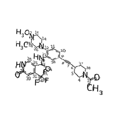 CC(=O)N1CCC(C#Cc2ccc(N3CCN(C)[C@@H](C)C3)c(NC(=O)c3c[nH]c(=O)cc3C(F)(F)F)c2)CC1